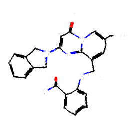 Cc1cc([C@H](C)Nc2ccccc2C(N)=O)c2nc(N3Cc4ccccc4C3)cc(=O)n2c1